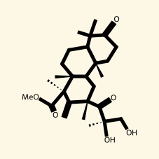 C=C1[C@@](C)(C(=O)[C@](C)(O)CO)CC2[C@@]3(C)CCC(=O)C(C)(C)C3CC[C@@]2(C)[C@]1(C)C(=O)OC